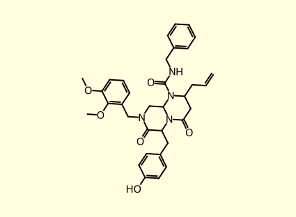 C=CCC1CC(=O)N2C(Cc3ccc(O)cc3)C(=O)N(Cc3cccc(OC)c3OC)CC2N1C(=O)NCc1ccccc1